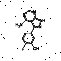 Nc1ncnc2[nH]nc(-c3ccc(F)c(O)c3)c12